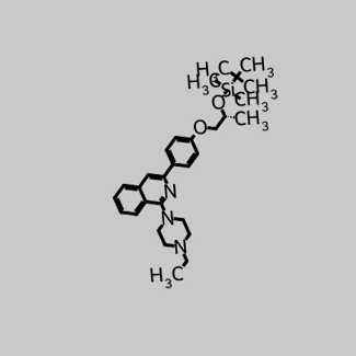 CCN1CCN(c2nc(-c3ccc(OC[C@@H](C)O[Si](C)(C)C(C)(C)C)cc3)cc3ccccc23)CC1